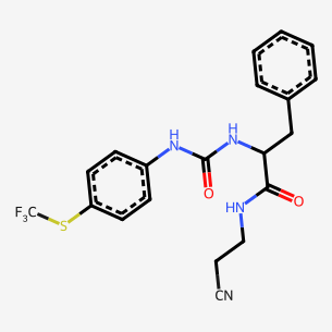 N#CCCNC(=O)C(Cc1ccccc1)NC(=O)Nc1ccc(SC(F)(F)F)cc1